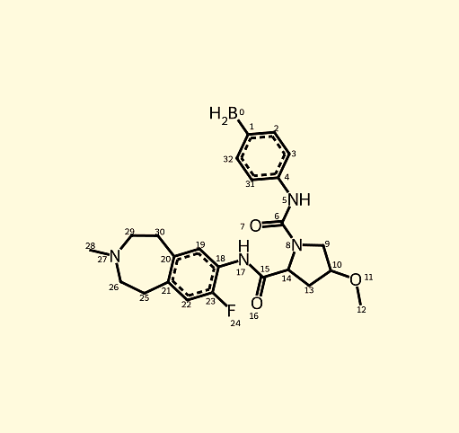 Bc1ccc(NC(=O)N2CC(OC)CC2C(=O)Nc2cc3c(cc2F)CCN(C)CC3)cc1